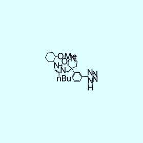 CCCCc1cn(C2CCCCC2OC)c(=O)n1CC1(c2cccc(-c3nnn[nH]3)c2)C=CN=CC1